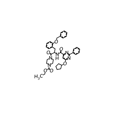 CCOC(=O)N1CCN(C(=O)C(Cc2ccccc2OCc2ccccc2)NC(=O)c2cc(OC3CCCC3)nc(-c3ccccc3)n2)CC1